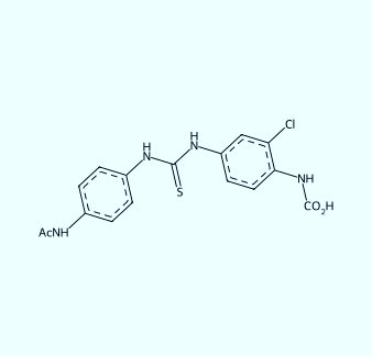 CC(=O)Nc1ccc(NC(=S)Nc2ccc(NC(=O)O)c(Cl)c2)cc1